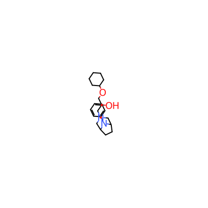 OC(COC1CCCCC1)CN1CC2CCC(C1)N2c1ccccc1